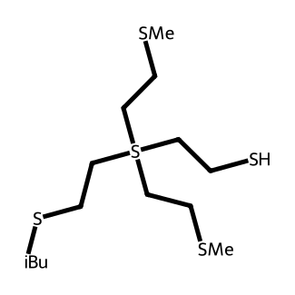 CCC(C)SCCS(CCS)(CCSC)CCSC